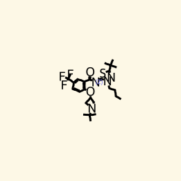 CCCCn1nc(C(C)(C)C)s/c1=N\C(=O)c1cc(C(F)(F)F)ccc1OC1CN(C(C)(C)C)C1